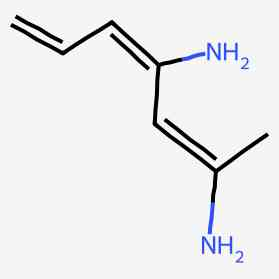 C=C/C=C(N)\C=C(/C)N